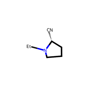 CCN1CCC[C@H]1C#N